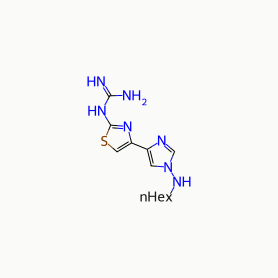 CCCCCCNn1cnc(-c2csc(NC(=N)N)n2)c1